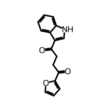 O=C(CCC(=O)c1c[nH]c2ccccc12)c1ccco1